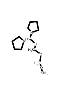 [SiH3]O[SiH2]O[SiH2]O[SiH](N1CCCC1)N1CCCC1